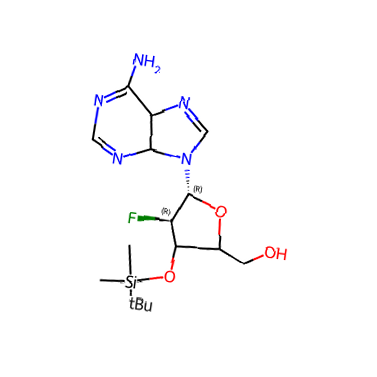 CC(C)(C)[Si](C)(C)OC1C(CO)O[C@@H](N2C=NC3C(N)=NC=NC32)[C@@H]1F